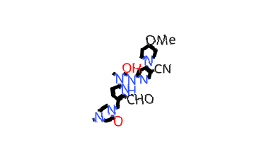 COC1CCN(c2cc(NC(O)N(C)c3ccc(CN4CCN(C)CC4=O)c(C=O)n3)ncc2C#N)CC1